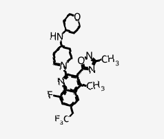 Cc1noc(-c2c(N3CCC(NC4CCOCC4)CC3)nc3c(F)cc(CC(F)(F)F)cc3c2C)n1